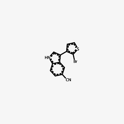 N#Cc1ccc2[nH]cc(-c3ccsc3Br)c2c1